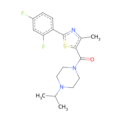 Cc1nc(-c2ccc(F)cc2F)sc1C(=O)N1CCN(C(C)C)CC1